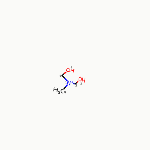 C[N+](CO)CO